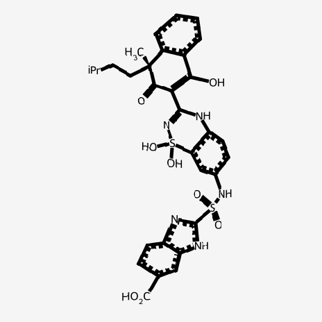 CC(C)CC[C@@]1(C)C(=O)C(C2=NS(O)(O)c3cc(NS(=O)(=O)c4nc5ccc(C(=O)O)cc5[nH]4)ccc3N2)=C(O)c2ccccc21